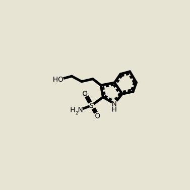 NS(=O)(=O)c1[nH]c2ccccc2c1CCCO